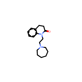 O=C1CCc2ccccc2N1CCN1CCCCCC1